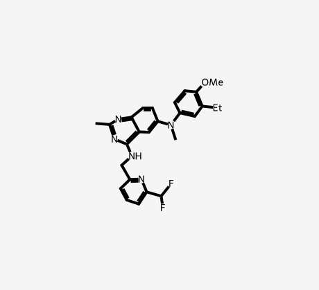 CCc1cc(N(C)c2ccc3nc(C)nc(NCc4cccc(C(F)F)n4)c3c2)ccc1OC